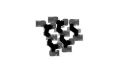 O=C(O)CNCC(=O)O.O=C(O)CNCC(=O)O.OCCO